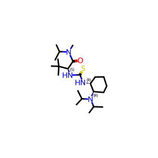 CC(C)N(C)C(=O)[C@@H](NC(=S)N[C@@H]1CCCC[C@H]1N(C(C)C)C(C)C)C(C)(C)C